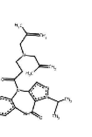 C=C(C)CN(CCC(=O)N1c2ccccc2NC(=O)c2c1cnn2C(C)C)CC(=C)C